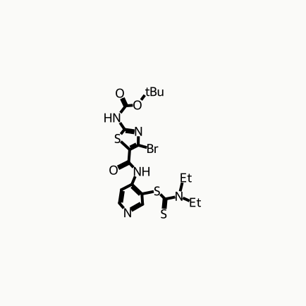 CCN(CC)C(=S)Sc1cnccc1NC(=O)c1sc(NC(=O)OC(C)(C)C)nc1Br